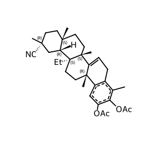 CC[C@@]12CC[C@]3(C)C(=CCc4c3cc(OC(C)=O)c(OC(C)=O)c4C)[C@@]1(C)CC[C@@]1(C)CC[C@@](C)(C#N)C[C@H]12